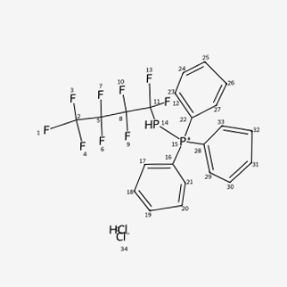 Cl.FC(F)(F)C(F)(F)C(F)(F)C(F)(F)P[P+](c1ccccc1)(c1ccccc1)c1ccccc1.[Cl-]